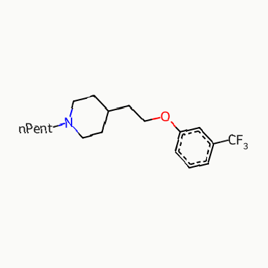 CCCCCN1CCC(CCOc2cccc(C(F)(F)F)c2)CC1